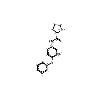 Cl.O=C(Nc1ccc(Oc2cccnc2)cc1)[C@H]1CCCN1